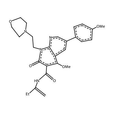 C=C(CC)NC(=O)c1c(OC)c2cc(-c3ccc(OC)cc3)cnc2n(CCN2CCOCC2)c1=O